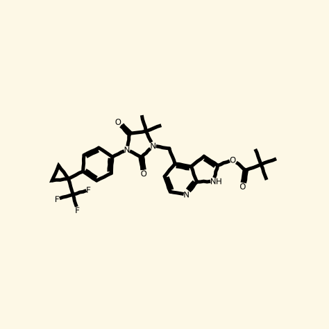 CC(C)(C)C(=O)Oc1cc2c(CN3C(=O)N(c4ccc(C5(C(F)(F)F)CC5)cc4)C(=O)C3(C)C)ccnc2[nH]1